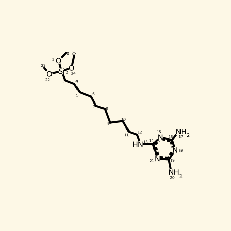 CO[Si](CCCCCCCCCCNc1nc(N)nc(N)n1)(OC)OC